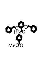 COC(=O)c1ccc(NC(=O)c2c(OCc3ccccc3)cccc2OCc2ccccc2)cc1